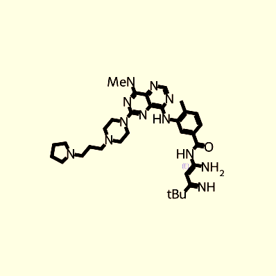 CNc1nc(N2CCN(CCCN3CCCC3)CC2)nc2c(Nc3cc(C(=O)N/C(N)=C/C(=N)C(C)(C)C)ccc3C)ncnc12